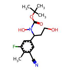 Cc1c(F)cc(C(CCO)N(O)C(=O)OC(C)(C)C)cc1C#N